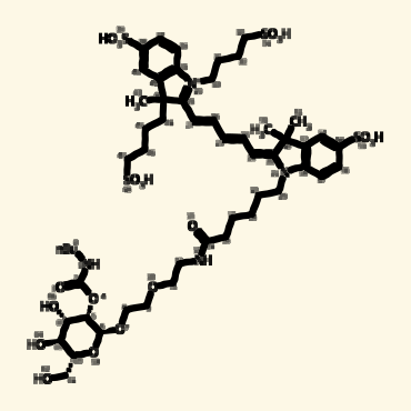 CCCCNC(=O)O[C@@H]1[C@@H](OCCOCCNC(=O)CCCCCN2/C(=C/C=C/C=C/C3=[N+](CCCCS(=O)(=O)O)c4ccc(S(=O)(=O)O)cc4C3(C)CCCCS(=O)(=O)O)C(C)(C)c3cc(S(=O)(=O)O)ccc32)O[C@H](CO)[C@@H](O)[C@@H]1O